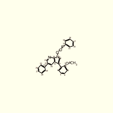 COc1ccccc1-c1cn(OOSc2ccccc2)c2ncc(-c3ccccc3)cc12